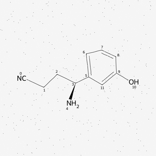 N#CCC[C@H](N)c1cccc(O)c1